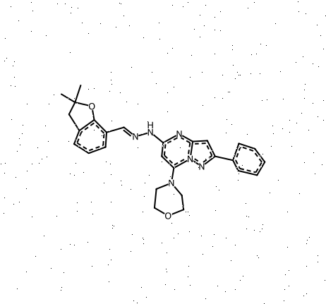 CC1(C)Cc2cccc(/C=N/Nc3cc(N4CCOCC4)n4nc(-c5ccccc5)cc4n3)c2O1